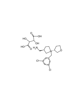 NC[C@H]1CC[N+](Cc2cc(Cl)cc(Cl)c2)([C@@H]2CCOC2)C1.O=C(O)C(O)C(O)C(=O)O